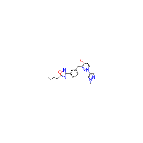 CCCCc1nc(-c2cccc(Cc3nn(-c4cnn(C)c4)ccc3=O)c2)no1